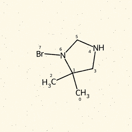 CC1(C)CNCN1Br